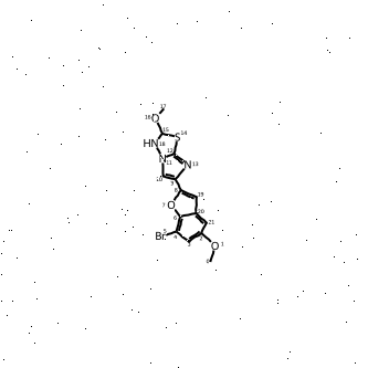 COc1cc(Br)c2oc(-c3cn4c(n3)SC(OC)N4)cc2c1